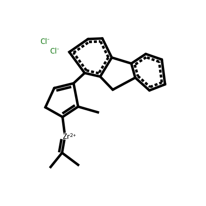 C[C](C)=[Zr+2][C]1=C(C)C(c2cccc3c2Cc2ccccc2-3)=CC1.[Cl-].[Cl-]